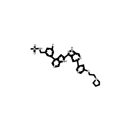 CS(=O)(=O)NCc1cc(F)cc(-c2cncc3[nH]c(-c4n[nH]c5cnc(-c6cncc(OCCN7CCCC7)c6)cc45)cc23)c1